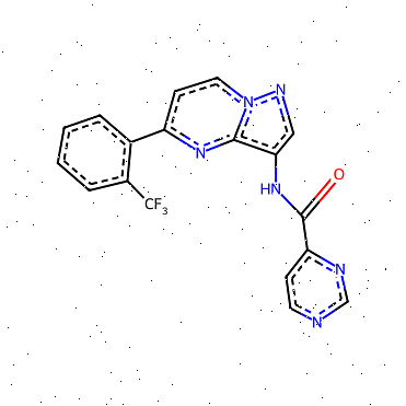 O=C(Nc1cnn2ccc(-c3ccccc3C(F)(F)F)nc12)c1ccncn1